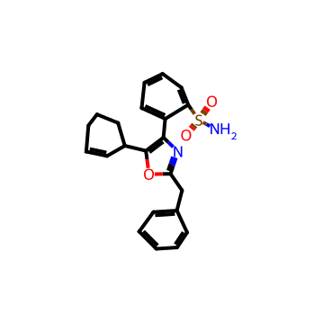 NS(=O)(=O)c1ccccc1-c1nc(Cc2ccccc2)oc1C1C=CCCC1